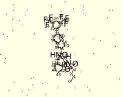 CCCCS(=O)(=O)NC(=O)CC(C)(NC(=O)c1ccc2nc(-c3cc(C(F)(F)F)cc(C(F)(F)F)c3)ccc2c1)c1ccccc1